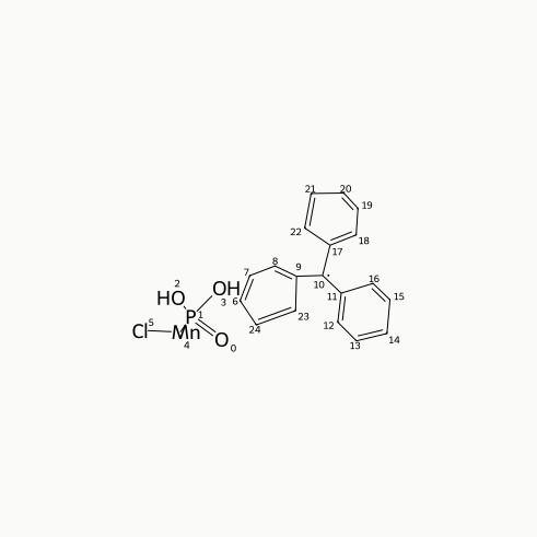 O=[P](O)(O)[Mn][Cl].c1ccc([C](c2ccccc2)c2ccccc2)cc1